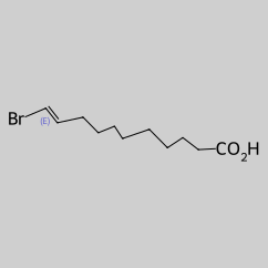 O=C(O)CCCCCCCC/C=C/Br